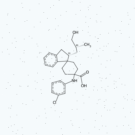 C[C@@H](CO)C[C@H]1Cc2ccccc2C12CCC(Nc1cccc(Cl)c1)(C(=O)O)CC2